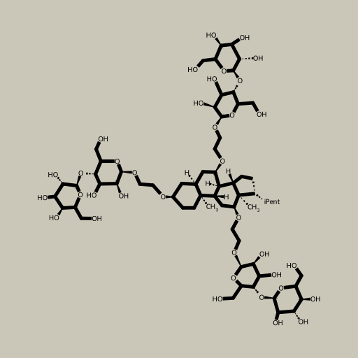 CCC[C@@H](C)[C@H]1CC[C@H]2[C@@H]3[C@H](OCCO[C@@H]4OC(CO)[C@@H](O[C@H]5OC(CO)[C@@H](O)C(O)[C@@H]5O)C(O)[C@@H]4O)C[C@@H]4C[C@H](OCCO[C@@H]5OC(CO)[C@@H](O[C@H]6OC(CO)[C@@H](O)C(O)[C@@H]6O)C(O)[C@@H]5O)CC[C@]4(C)[C@H]3C[C@H](OCCO[C@@H]3OC(CO)[C@@H](O[C@H]4OC(CO)[C@@H](O)[C@H](O)C4O)C(O)[C@@H]3O)[C@]12C